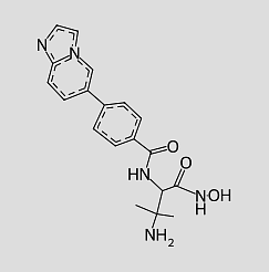 CC(C)(N)C(NC(=O)c1ccc(-c2ccc3nccn3c2)cc1)C(=O)NO